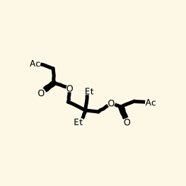 CCC(CC)(COC(=O)CC(C)=O)COC(=O)CC(C)=O